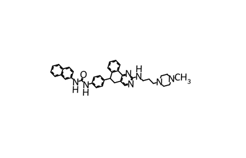 CN1CCN(CCCNc2ncc3c(n2)-c2ccccc2C(c2ccc(NC(=O)Nc4ccc5ccccc5c4)cc2)C3)CC1